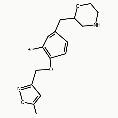 Cc1cc(COc2ccc(CC3CNCCO3)cc2Br)no1